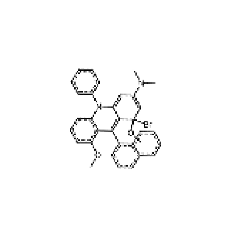 COc1cccc2c1C(c1cccc3ccccc13)=C1C(=CC(N(C)C)=CC1(Br)OC)N2c1ccccc1